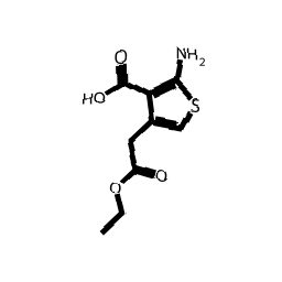 CCOC(=O)Cc1csc(N)c1C(=O)O